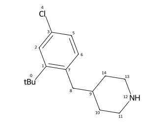 CC(C)(C)c1cc(Cl)ccc1CC1CCNCC1